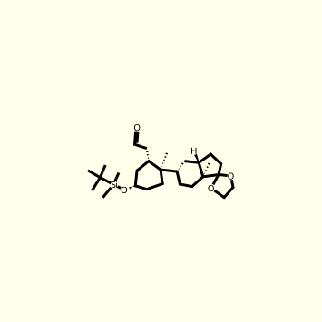 CC(C)(C)[Si](C)(C)O[C@H]1CC[C@](C)([C@@H]2[CH][C@@H]3CCC4(OCCO4)[C@@]3(C)CC2)[C@@H](CC=O)C1